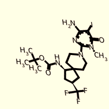 Cn1c(N2CCC3(CC2)C[C@@H](C(F)(F)F)C[C@H]3NC(=O)OC(C)(C)C)nc(N)c(I)c1=O